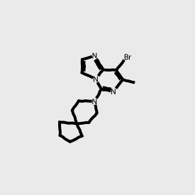 Cc1nc(N2CCC3(CCCC3)CC2)n2ccnc2c1Br